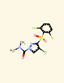 CN(C)C(=O)n1cc(Cl)c(S(=O)(=O)c2c(F)cccc2F)n1